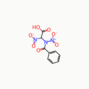 O=C(O)C(N(C(=O)c1ccccc1)[N+](=O)[O-])[N+](=O)[O-]